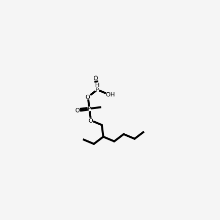 CCCCC(CC)COP(C)(=O)O[PH](=O)O